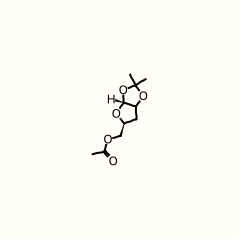 CC(=O)OC[C@@H]1CC2OC(C)(C)O[C@H]2O1